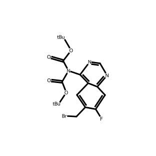 CC(C)(C)OC(=O)N(C(=O)OC(C)(C)C)c1ncnc2cc(F)c(CBr)cc12